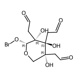 O=CC[C@@]1(O)CO[C@H](OBr)[C@@](O)(CC=O)[C@]1(O)CC=O